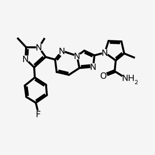 Cc1ccn(-c2cn3nc(-c4c(-c5ccc(F)cc5)nc(C)n4C)ccc3n2)c1C(N)=O